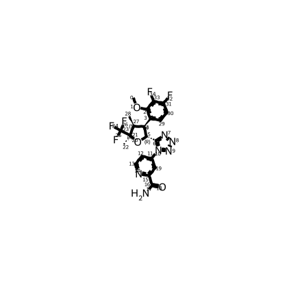 COc1c([C@H]2[C@H](c3nnnn3-c3ccnc(C(N)=O)c3)O[C@@](C)(C(F)(F)F)[C@H]2C)ccc(F)c1F